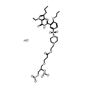 CCCOc1ccc(S(=O)(=O)N2CCN(CCOC(=O)CCOCC(CO[N+](=O)[O-])O[N+](=O)[O-])CC2)cc1-c1nc2c(CCC)cn(CC)c2c(=O)[nH]1.Cl